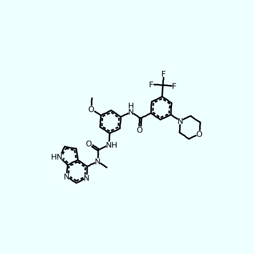 COc1cc(NC(=O)c2cc(N3CCOCC3)cc(C(F)(F)F)c2)cc(NC(=O)N(C)c2ncnc3[nH]ccc23)c1